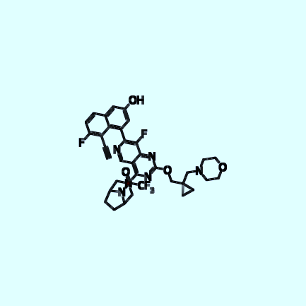 C#Cc1c(F)ccc2cc(O)cc(-c3ncc4c(N5CC6CCC(C5)N6C(=O)C(F)(F)F)nc(OCC5(CN6CCOCC6)CC5)nc4c3F)c12